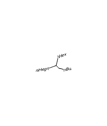 CCCCCCC[C](CCCC)CCCCCC